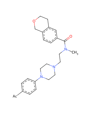 CC(=O)c1ccc(N2CCN(CCN(C)C(=O)c3ccc4c(c3)CCOC4)CC2)cc1